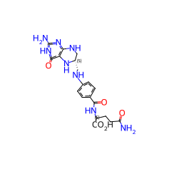 NC(=O)CC[C@H](NC(=O)c1ccc(NC[C@H]2CNc3nc(N)[nH]c(=O)c3N2)cc1)C(=O)O